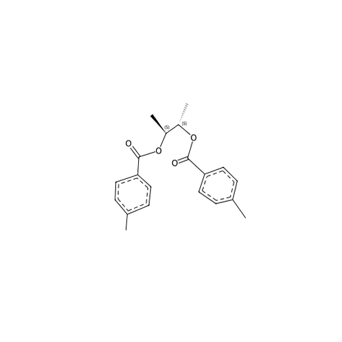 Cc1ccc(C(=O)O[C@@H](C)[C@H](C)OC(=O)c2ccc(C)cc2)cc1